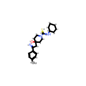 CC(C)(C)c1ccc(C2=NOC3(CCN(C(=S)NC4CCCCC4)CC3)C2)cc1